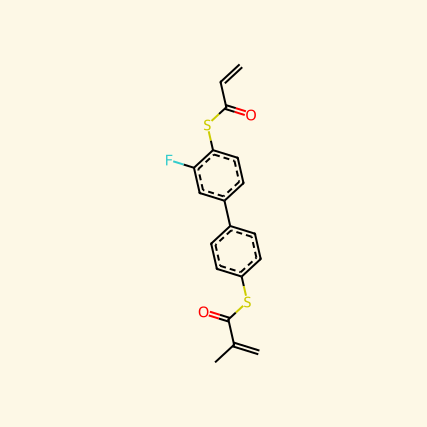 C=CC(=O)Sc1ccc(-c2ccc(SC(=O)C(=C)C)cc2)cc1F